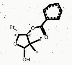 CC[C@H]1OC(O)C(F)(F)[C@@H]1OC(=O)c1ccccc1